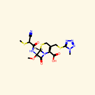 CO[C@@]1(NC(=O)C(C#N)SC)C(=O)N2C(C(=O)O)=C(CSc3nnnn3C)CS[C@H]21